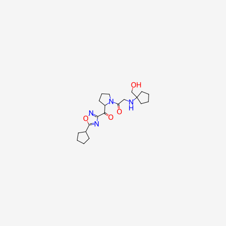 O=C(c1noc(C2CCCC2)n1)C1CCCN1C(=O)CNC1(CO)CCCC1